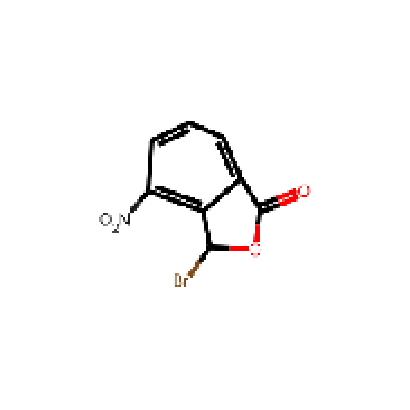 O=C1OC(Br)c2c1cccc2[N+](=O)[O-]